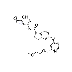 COCCOCc1cc(Oc2ccc3c(ccn3C(=O)NC(=N)/C=C(\O)C3(C)CC3)c2)ncn1